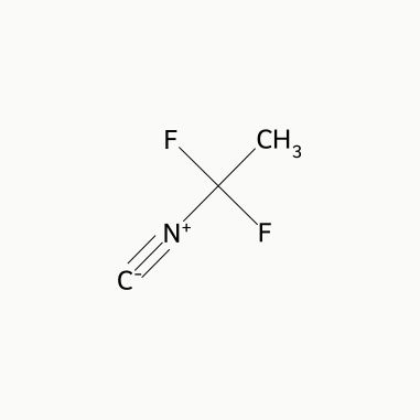 [C-]#[N+]C(C)(F)F